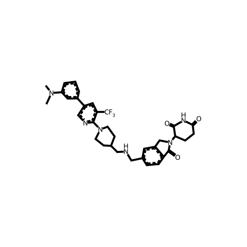 CN(C)c1cccc(-c2cnc(N3CCC(CNCc4ccc5c(c4)CN(C4CCC(=O)NC4=O)C5=O)CC3)c(C(F)(F)F)c2)c1